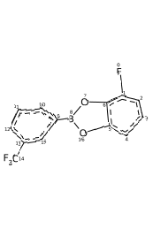 Fc1cccc2c1OB(c1cccc(C(F)(F)F)c1)O2